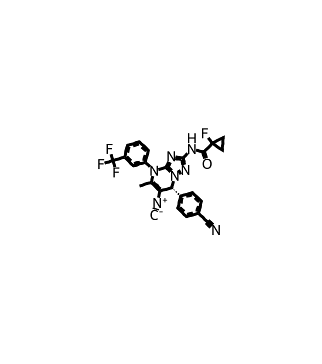 [C-]#[N+]C1=C(C)N(c2cccc(C(F)(F)F)c2)c2nc(NC(=O)C3(F)CC3)nn2[C@@H]1c1ccc(C#N)cc1